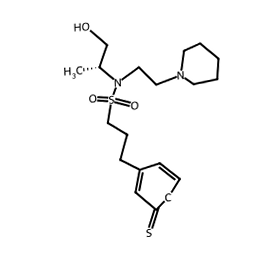 C[C@H](CO)N(CCN1CCCCC1)S(=O)(=O)CCCC1=CC(=S)CC=C1